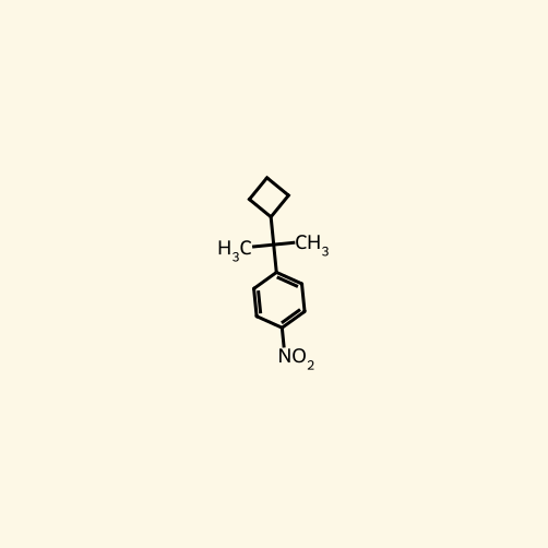 CC(C)(c1ccc([N+](=O)[O-])cc1)C1CCC1